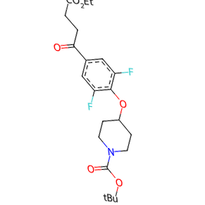 CCOC(=O)CCC(=O)c1cc(F)c(OC2CCN(C(=O)OC(C)(C)C)CC2)c(F)c1